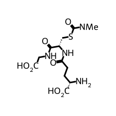 CNC(=O)SC[C@H](NC(=O)CC[C@H](N)C(=O)O)C(=O)NCC(=O)O